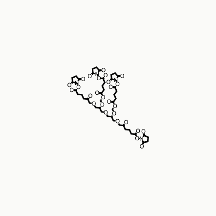 O=C(CCCC(=O)ON1C(=O)CCC1=O)COCC(COCC(COCC(=O)CCCC(=O)ON1C(=O)CCC1=O)OCOC(=O)CCCC(=O)ON1C(=O)CCC1=O)OCOC(=O)CCCC(=O)ON1C(=O)CCC1=O